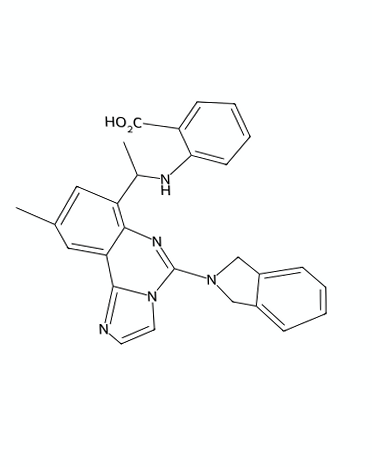 Cc1cc(C(C)Nc2ccccc2C(=O)O)c2nc(N3Cc4ccccc4C3)n3ccnc3c2c1